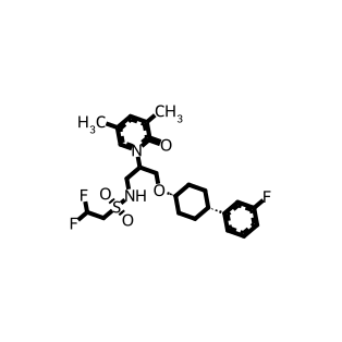 Cc1cc(C)c(=O)n(C(CNS(=O)(=O)CC(F)F)CO[C@H]2CC[C@@H](c3cccc(F)c3)CC2)c1